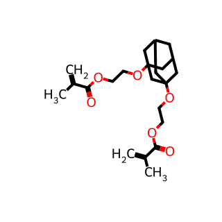 C=C(C)C(=O)OCCOC12CC3CC(C1)CC(OCCOC(=O)C(=C)C)(C3)C2